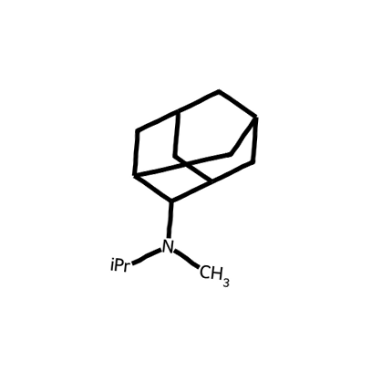 CC(C)N(C)C1C2CC3CC(C2)CC1C3